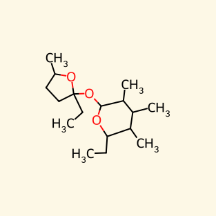 CCC1OC(OC2(CC)CCC(C)O2)C(C)C(C)C1C